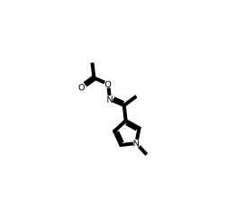 CC(=O)ON=C(C)c1ccn(C)c1